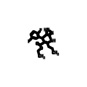 CCCC1=C(C(=O)OCC)C(c2cc(F)ccc2F)c2c[nH]nc2N1